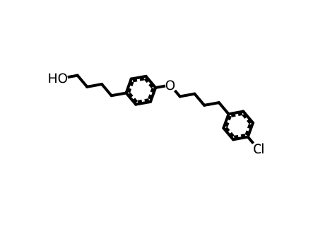 OCCCCc1ccc(OCCCCc2ccc(Cl)cc2)cc1